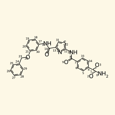 NS(=O)(=O)c1ccc(C(=O)Nc2nc(C(=O)Nc3cccc(OCc4ccccc4)c3)cs2)cc1